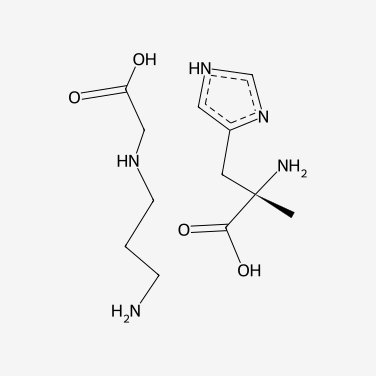 C[C@](N)(Cc1c[nH]cn1)C(=O)O.NCCCNCC(=O)O